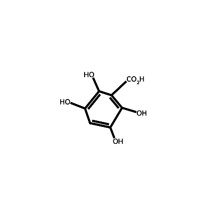 O=C(O)c1c(O)c(O)cc(O)c1O